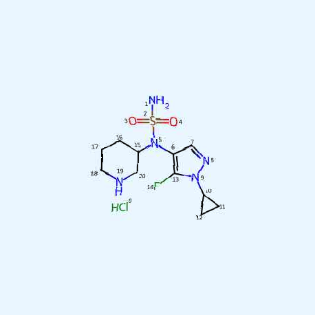 Cl.NS(=O)(=O)N(c1cnn(C2CC2)c1F)C1CCCNC1